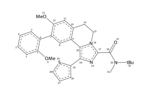 COc1ccccc1-c1cc2c(cc1OC)CCn1c(C(=O)N(C)C(C)(C)C)nc(-c3cccs3)c1-2